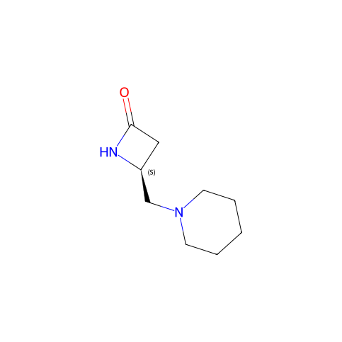 O=C1C[C@@H](CN2CCCCC2)N1